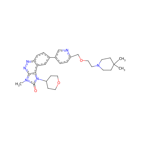 Cn1c(=O)n(C2CCOCC2)c2c3cc(-c4ccc(COCCN5CCC(C)(C)CC5)nc4)ccc3nnc21